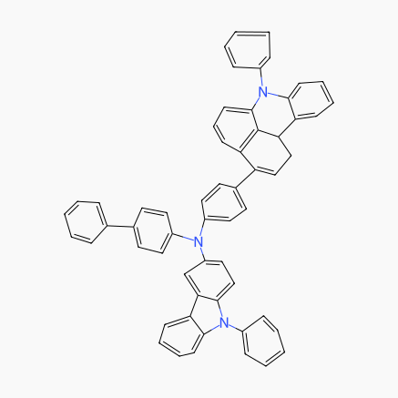 C1=C(c2ccc(N(c3ccc(-c4ccccc4)cc3)c3ccc4c(c3)c3ccccc3n4-c3ccccc3)cc2)c2cccc3c2C(C1)c1ccccc1N3c1ccccc1